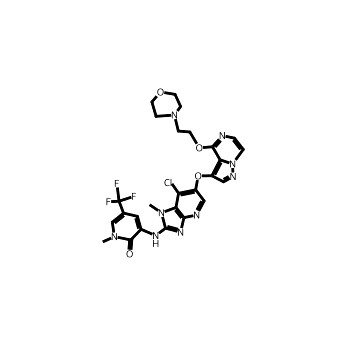 Cn1cc(C(F)(F)F)cc(Nc2nc3ncc(Oc4cnn5ccnc(OCCN6CCOCC6)c45)c(Cl)c3n2C)c1=O